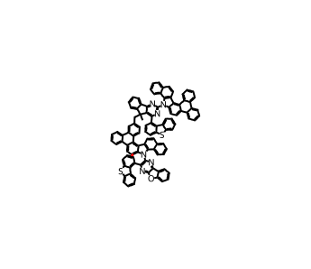 CC1(Cc2ccc3c(c2)c2ccccc2c2ccc4c(c5ccc6ccccc6c5n4-c4nc5c(nc4-c4cccc6sc7ccccc7c46)oc4ccccc45)c23)c2ccccc2-c2nc(-n3c4ccc5c6ccccc6c6ccccc6c5c4c4ccc5ccccc5c43)nc(-c3cccc4sc5ccccc5c34)c21